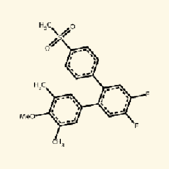 COc1c(C)cc(-c2cc(F)c(F)cc2-c2ccc(S(C)(=O)=O)cc2)cc1C